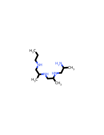 CCCNCC(C)NCC(C)NCC(C)N